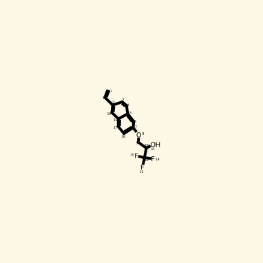 C=Cc1ccc2cc(OCC(O)C(F)(F)F)ccc2c1